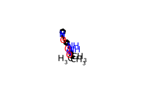 CC(C)(C)c1cc(NC(=O)Nc2ccc(OCCN3CCCCC3)cc2)no1